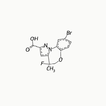 CC1(F)COc2ccc(Br)cc2-n2nc(C(=O)O)cc21